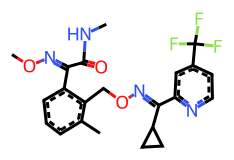 CNC(=O)/C(=N/OC)c1cccc(C)c1CO/N=C(/c1cc(C(F)(F)F)ccn1)C1CC1